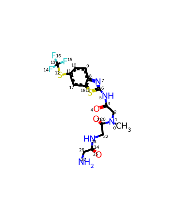 CN(CC(=O)Nc1nc2ccc(SC(F)(F)F)cc2s1)C(=O)CNC(=O)CN